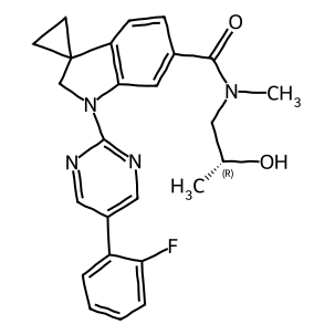 C[C@@H](O)CN(C)C(=O)c1ccc2c(c1)N(c1ncc(-c3ccccc3F)cn1)CC21CC1